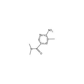 Cc1cc(C(=O)N(C)C)cnc1[N+](=O)[O-]